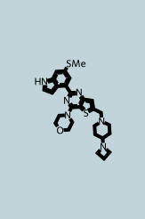 CSc1cc(-c2nc(N3CCOCC3)c3sc(CN4CCC(N5CCC5)CC4)cc3n2)c2cc[nH]c2c1